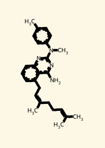 CC(C)=CCCC(C)=CCc1cccc2nc(N(C)c3ccc(C)cc3)nc(N)c12